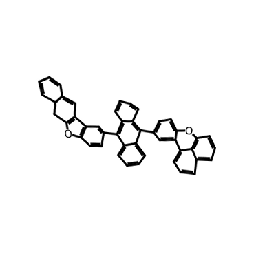 C1=CC2=Cc3c(oc4ccc(-c5c6ccccc6c(-c6ccc7c(c6)-c6cccc8cccc(c68)O7)c6ccccc56)cc34)CC2C=C1